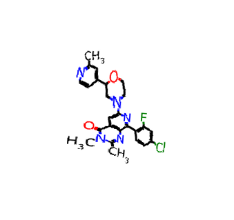 Cc1cc(C2CN(c3cc4c(=O)n(C)c(C)nc4c(-c4ccc(Cl)cc4F)n3)CCO2)ccn1